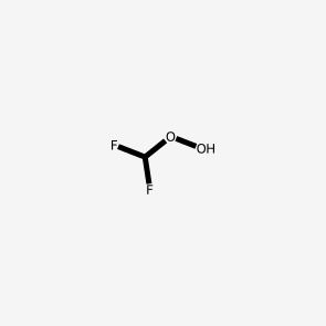 OOC(F)F